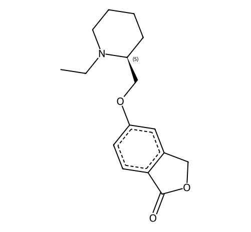 CCN1CCCC[C@H]1COc1ccc2c(c1)COC2=O